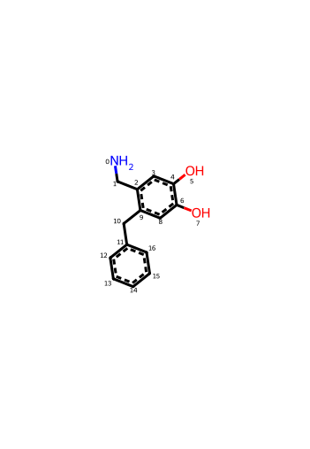 NCc1cc(O)c(O)cc1Cc1ccccc1